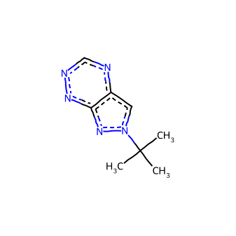 CC(C)(C)n1cc2ncnnc2n1